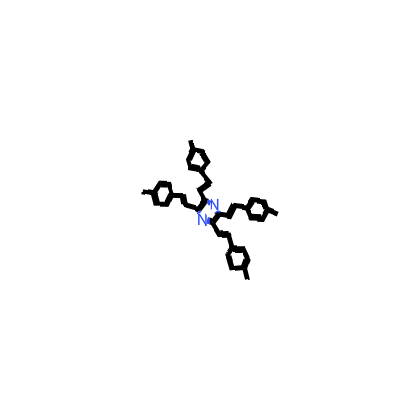 Cc1ccc(/C=C/c2nc(/C=C/c3ccc(C)cc3)c(/C=C/c3ccc(C)cc3)nc2/C=C/c2ccc(C)cc2)cc1